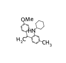 C=C(c1ccc(OC)cc1)c1ccc(C)cc1NC1CCCCC1